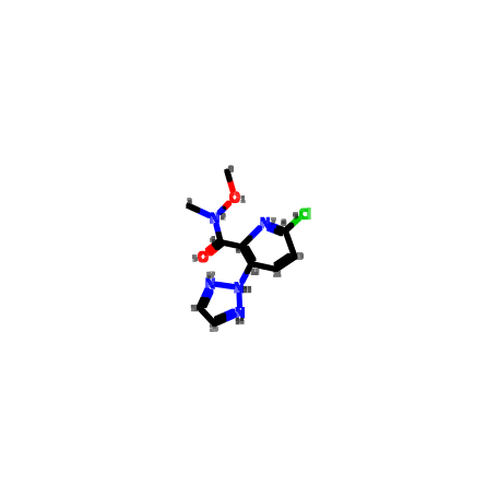 CON(C)C(=O)c1nc(Cl)ccc1-n1nccn1